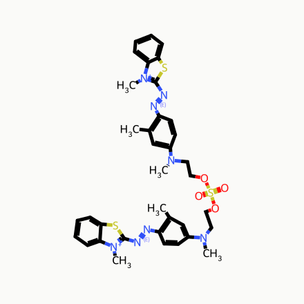 Cc1cc(N(C)CCOS(=O)(=O)OCCN(C)c2ccc(/N=N/c3sc4ccccc4[n+]3C)c(C)c2)ccc1/N=N/c1sc2ccccc2[n+]1C